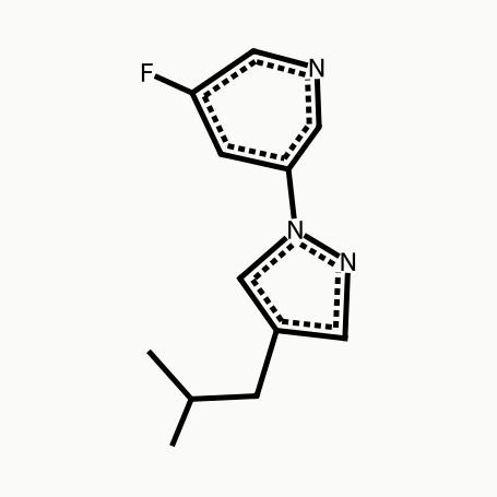 CC(C)Cc1cnn(-c2cncc(F)c2)c1